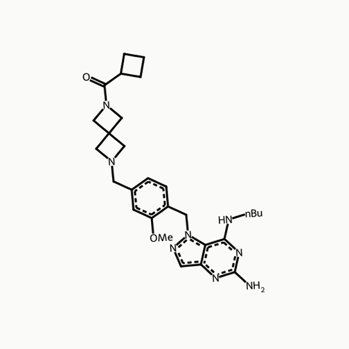 CCCCNc1nc(N)nc2cnn(Cc3ccc(CN4CC5(C4)CN(C(=O)C4CCC4)C5)cc3OC)c12